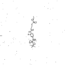 CCOC(=O)CCCNC(=O)c1ncc(NC(=O)OC(C)(C)C)cc1F